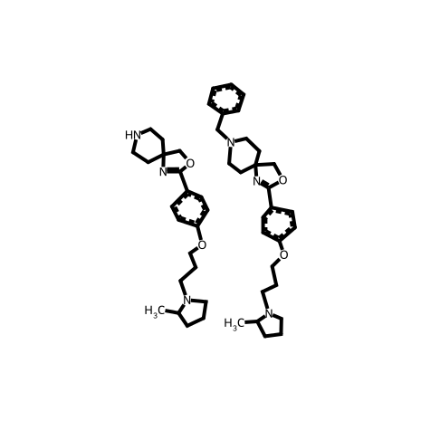 CC1CCCN1CCCOc1ccc(C2=NC3(CCN(Cc4ccccc4)CC3)CO2)cc1.CC1CCCN1CCCOc1ccc(C2=NC3(CCNCC3)CO2)cc1